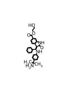 CC(C)(N)c1ccc(N/C(=C2\C(=O)Nc3cc(C(=O)OCCO)ccc32)c2ccccc2)cc1